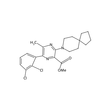 COC(=O)c1nc(-c2cccc(Cl)c2Cl)c(C)nc1N1CCC2(CCCC2)CC1